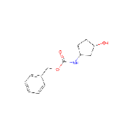 O=C(NC1CCC(O)C1)OCc1ccccc1